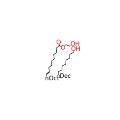 CCCCCCCCC=CCCCCCCCC(=O)OCCO.CCCCCCCCCCCCCCCCCCO